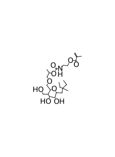 C=C(C)C(=O)OCCNC(=O)OC(C)COCC1OC(CC(C)(CC)CC)C(O)C(O)C1CO